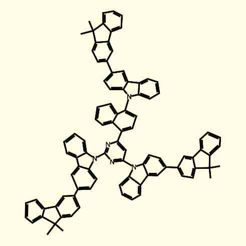 CC1(C)c2ccccc2-c2cc(-c3ccc4c(c3)c3ccccc3n4-c3cc(-c4ccc(-n5c6ccccc6c6cc(-c7ccc8c(c7)-c7ccccc7C8(C)C)ccc65)c5ccccc45)nc(-n4c5ccccc5c5cc(-c6ccc7c(c6)-c6ccccc6C7(C)C)ccc54)n3)ccc21